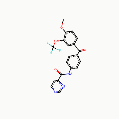 COc1ccc(C(=O)c2ccc(NC(=O)c3ccncn3)cc2)cc1OC(F)(F)F